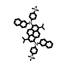 CC(C)c1cc(N(c2ccc([Si](C)(C)C)cc2)c2ccc3ccccc3c2)c2ccc3c(C(C)C)cc(N(c4ccc([Si](C)(C)C)cc4)c4ccc5ccccc5c4)c4ccc1c2c34